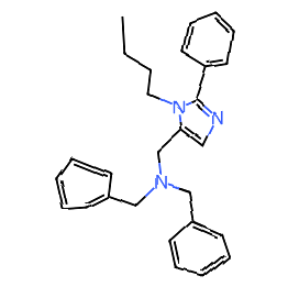 CCCCn1c(CN(Cc2ccccc2)Cc2ccccc2)cnc1-c1ccccc1